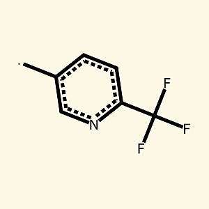 [CH2]c1ccc(C(F)(F)F)nc1